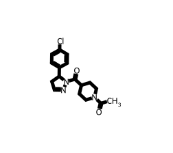 CC(=O)N1CCC(C(=O)N2N=CCC2c2ccc(Cl)cc2)CC1